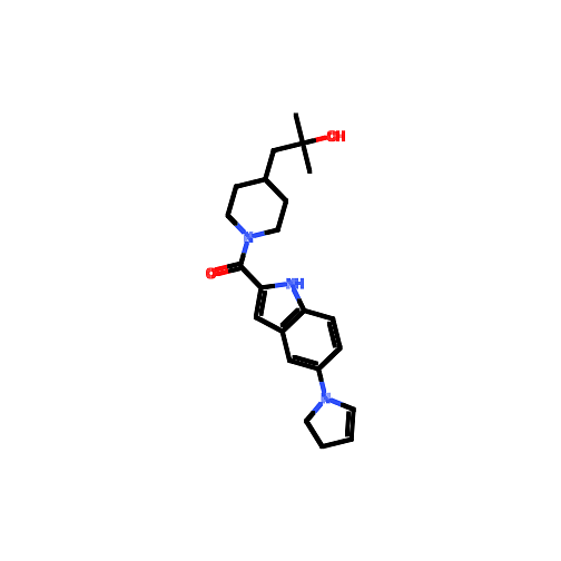 CC(C)(O)CC1CCN(C(=O)c2cc3cc(N4C=CCC4)ccc3[nH]2)CC1